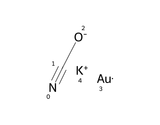 N#C[O-].[Au].[K+]